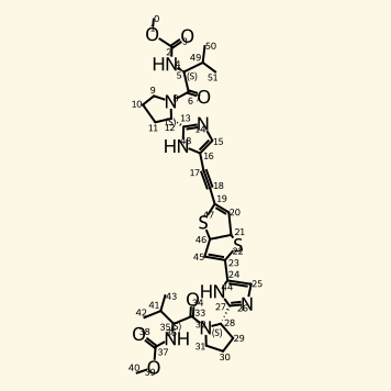 COC(=O)N[C@H](C(=O)N1CCC[C@H]1c1ncc(C#CC2=CC3SC(c4cnc([C@@H]5CCCN5C(=O)[C@@H](NC(=O)OC)C(C)C)[nH]4)=CC3S2)[nH]1)C(C)C